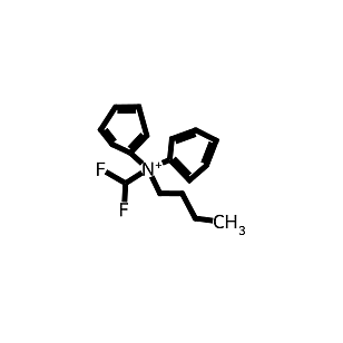 CCCC[N+](c1ccccc1)(c1ccccc1)C(F)F